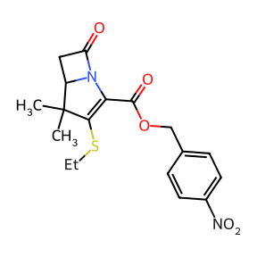 CCSC1=C(C(=O)OCc2ccc([N+](=O)[O-])cc2)N2C(=O)CC2C1(C)C